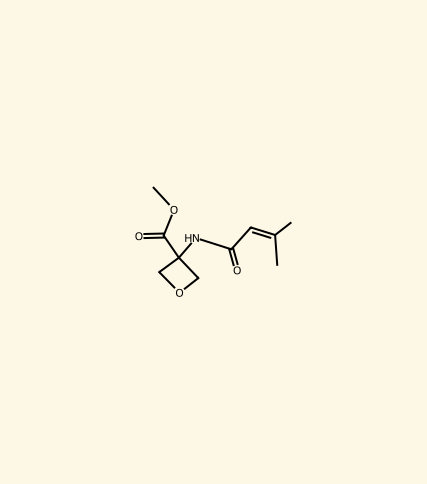 COC(=O)C1(NC(=O)C=C(C)C)COC1